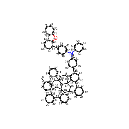 Cc1ccccc1-c1ccccc1C12CCCC34CC(CC5(CC(CC1)c1ccccc1-c1ccccc15)C23)c1ccccc1-c1ccc(-c2ccc(N(c3ccccc3)c3ccc(-c5cccc6c5oc5ccccc56)cc3)cc2)cc14